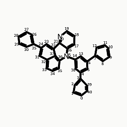 c1ccc(-c2cc(-c3ccccc3)cc(N3c4cccnc4-c4cc(-c5ccccc5)cc5cccc3c45)c2)cc1